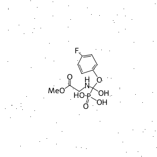 COC(=O)CNC(O)(Oc1ccc(F)cc1)P(=O)(O)O